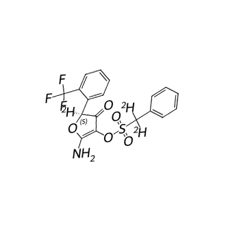 [2H]C([2H])(c1ccccc1)S(=O)(=O)OC1=C(N)O[C@@]([2H])(c2ccccc2C(F)(F)F)C1=O